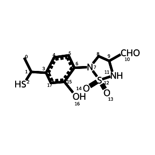 CC(S)c1ccc(N2CC(C=O)NS2(=O)=O)c(O)c1